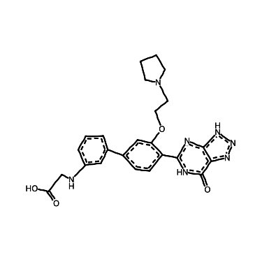 O=C(O)CNc1cccc(-c2ccc(-c3nc4[nH]nnc4c(=O)[nH]3)c(OCCN3CCCC3)c2)c1